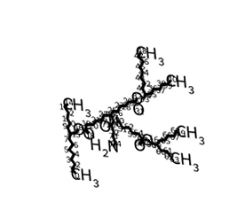 CCCCCCCCC(CCCCCC)COC(=O)CCCCCC(CCCCCC(=O)OCC(CCCCCC)CCCCCCCC)N(CCCCCC(=O)OCC(CCCC)CCCCCC)C(=O)CCCN